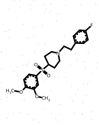 COc1ccc(S(=O)(=O)C2CCN(CCc3ccc(F)cc3)CC2)cc1OC